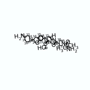 CC(C)(N)C(=O)N1CCN(C(=O)Nc2ccn(-c3ccc4c(c3)OCC(N3CCCC(N)CC3)C4)c(=O)n2)CC1.Cl